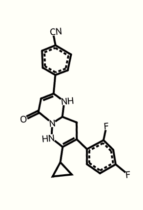 N#Cc1ccc(C2=CC(=O)N3NC(C4CC4)=C(c4ccc(F)cc4F)CC3N2)cc1